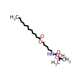 CCCCCCCCCCCC(=O)OCCCCCNC(=O)OC(C)(C)C